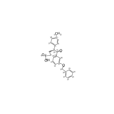 Cc1ccc([C@H](CCC(=O)O)C(=O)c2cccc(OCc3ccccc3)c2)cc1